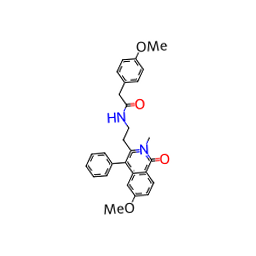 COc1ccc(CC(=O)NCCc2c(-c3ccccc3)c3cc(OC)ccc3c(=O)n2C)cc1